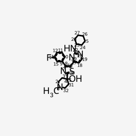 CN1CCC(O)(c2nc(-c3cccc(F)c3)c(-c3ccnc(NC4CCCCC4)n3)s2)CC1